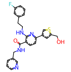 O=C(NCc1cccnc1)c1ccc(-c2csc(CO)c2)nc1NCCc1cccc(F)c1